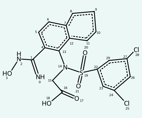 N=C(NO)c1ccc2ccccc2c1N(CC(=O)O)S(=O)(=O)c1cc(Cl)cc(Cl)c1